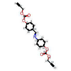 C#CCOC(=O)Oc1ccc(/C=N/c2ccc(OC(=O)OCC#C)cc2)cc1